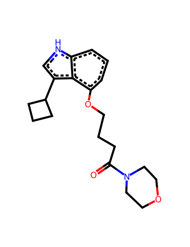 O=C(CCCOc1cccc2[nH]cc(C3CCC3)c12)N1CCOCC1